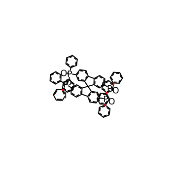 O=P(C1=IC=CC=C1)(c1ccccc1)c1ccc2c(c1)C1(c3cc(P(=O)(c4ccccc4)c4ccccc4)ccc3-2)c2cc(P(=O)(c3ccccc3)c3ccccc3)ccc2-c2ccc(P(=O)(c3ccccc3)c3ccccc3)cc21